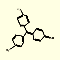 N=C1C=CC(=C(c2ccc(N)cc2)c2ccc(N)cc2)C=C1